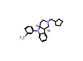 FC(F)(F)c1cccc(N2c3ccccc3[C@@H]3CN(CC4CCCC4)CC[C@H]32)c1